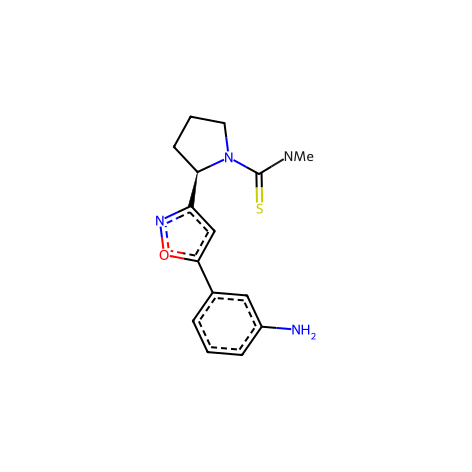 CNC(=S)N1CCC[C@@H]1c1cc(-c2cccc(N)c2)on1